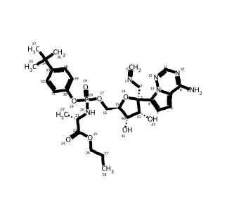 C=NC[C@@]1(c2ccc3c(N)ncnn23)O[C@H](COP(=O)(N[C@@H](C)C(=O)OCCC)Oc2ccc(C(C)(C)C)cc2)[C@@H](O)[C@H]1O